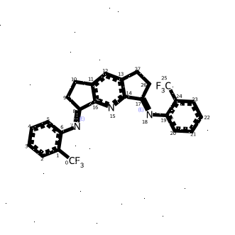 FC(F)(F)c1ccccc1/N=C1\CCc2cc3c(nc21)/C(=N/c1ccccc1C(F)(F)F)CC3